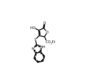 CCOC(=O)C1OC(=O)C(O)=C1Sc1nc2ccccc2[nH]1